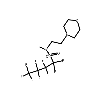 CN(CCN1CCOCC1)S(=O)(=O)C(F)(F)C(F)(F)C(F)(F)C(F)(F)F